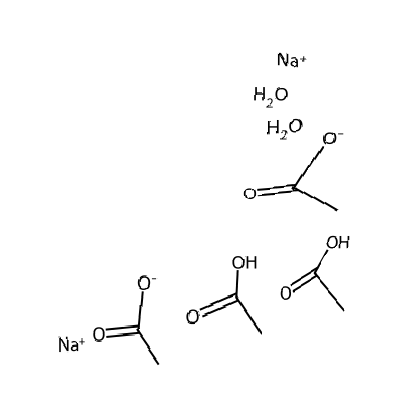 CC(=O)O.CC(=O)O.CC(=O)[O-].CC(=O)[O-].O.O.[Na+].[Na+]